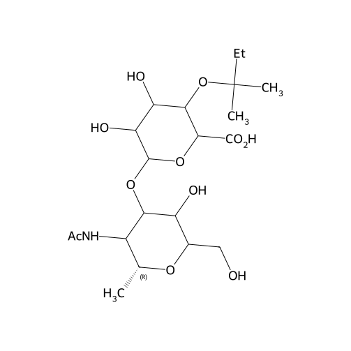 CCC(C)(C)OC1C(C(=O)O)OC(OC2C(O)C(CO)O[C@H](C)C2NC(C)=O)C(O)C1O